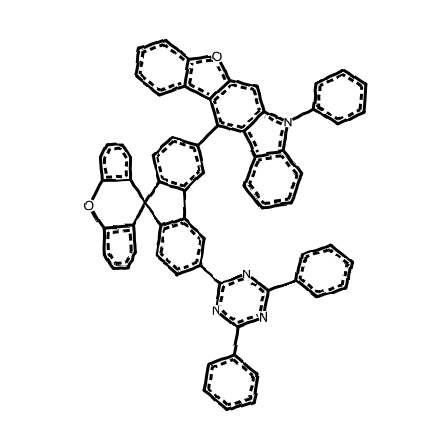 c1ccc(-c2nc(-c3ccccc3)nc(-c3ccc4c(c3)-c3cc(-c5c6c(cc7c5c5ccccc5n7-c5ccccc5)oc5ccccc56)ccc3C43c4ccccc4Oc4ccccc43)n2)cc1